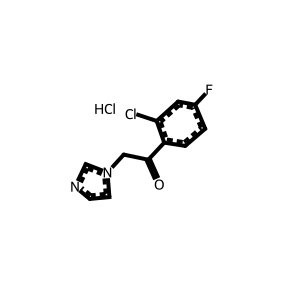 Cl.O=C(Cn1ccnc1)c1ccc(F)cc1Cl